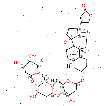 C[C@@H]1O[C@@H](O[C@H]2[C@@H](O)C[C@H](O[C@H]3[C@@H](O)C[C@H](O[C@H]4CC[C@@]5(C)[C@H](CCC6[C@@H]5CC[C@]5(C)[C@@H](C7=CC(=O)OC7)CC[C@]65O)C4)O[C@@H]3C)O[C@@H]2C)C[C@H](O)[C@@H]1O